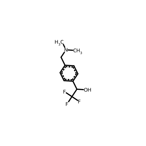 CN(C)Cc1ccc(C(O)C(F)(F)F)cc1